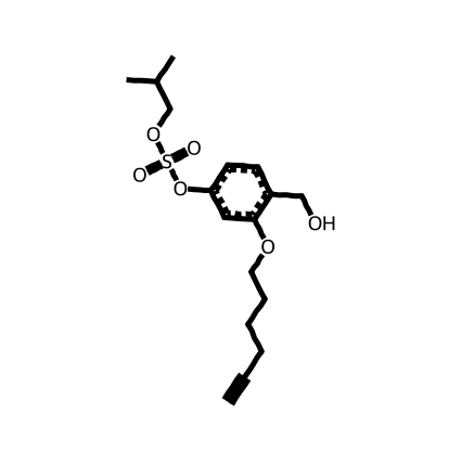 C#CCCCCOc1cc(OS(=O)(=O)OCC(C)C)ccc1CO